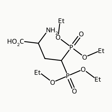 CCOP(=O)(OCC)C(CC(N)C(=O)O)P(=O)(OCC)OCC